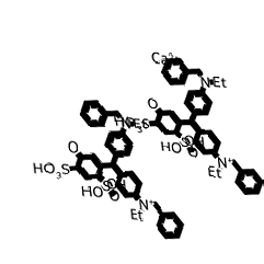 CCN(Cc1ccccc1)c1ccc(C(C2=CC(=O)C(S(=O)(=O)O)=CC2=S(=O)(O)O)=C2C=CC(=[N+](CC)Cc3ccccc3)C=C2)cc1.CCN(Cc1ccccc1)c1ccc(C(C2=CC(=O)C(S(=O)(=O)O)=CC2=S(=O)(O)O)=C2C=CC(=[N+](CC)Cc3ccccc3)C=C2)cc1.[Ca+2]